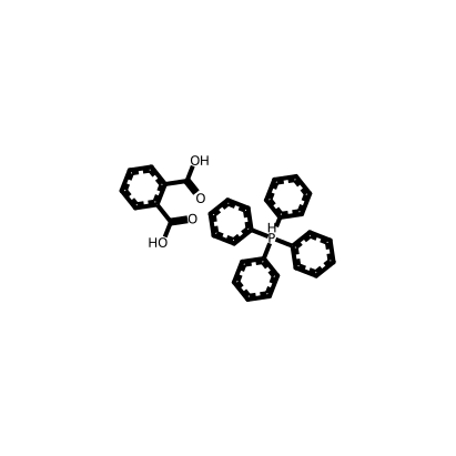 O=C(O)c1ccccc1C(=O)O.c1ccc([PH](c2ccccc2)(c2ccccc2)c2ccccc2)cc1